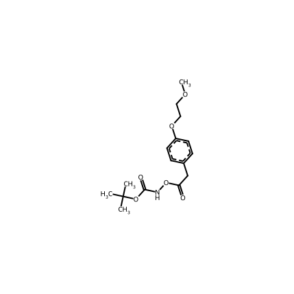 COCCOc1ccc(CC(=O)ONC(=O)OC(C)(C)C)cc1